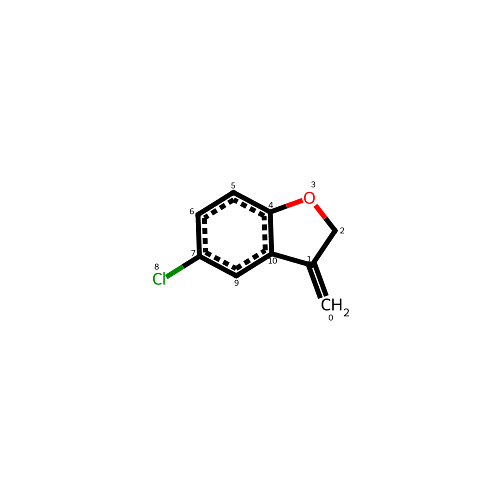 C=C1COc2ccc(Cl)cc21